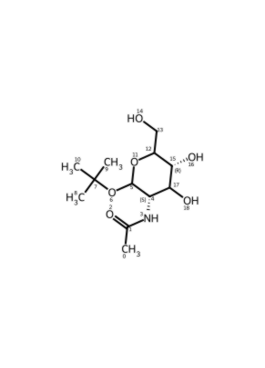 CC(=O)N[C@@H]1C(OC(C)(C)C)OC(CO)[C@H](O)C1O